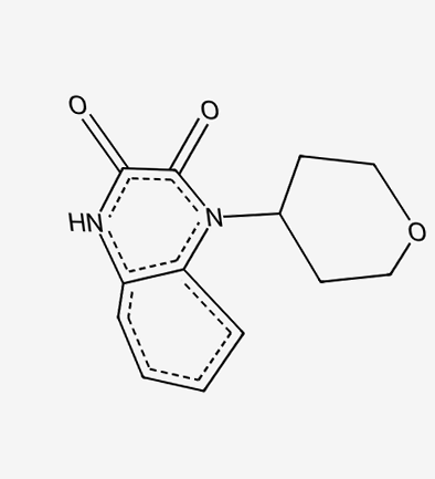 O=c1[nH]c2ccccc2n(C2CCOCC2)c1=O